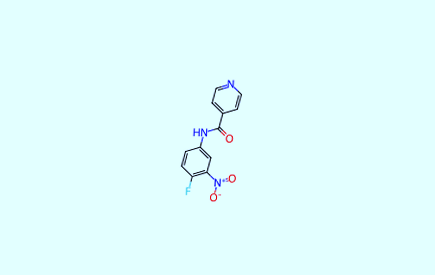 O=C(Nc1ccc(F)c([N+](=O)[O-])c1)c1ccncc1